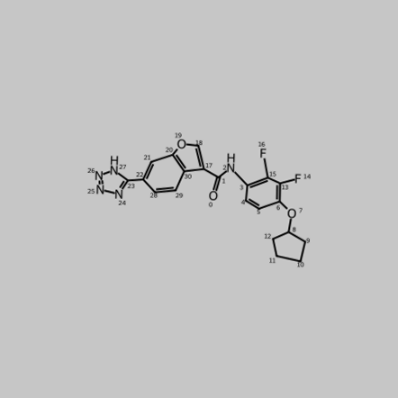 O=C(Nc1ccc(OC2CCCC2)c(F)c1F)c1coc2cc(-c3nnn[nH]3)ccc12